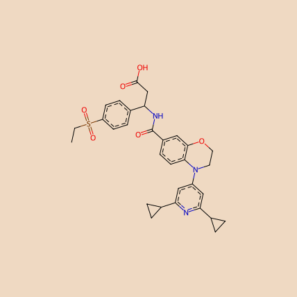 CCS(=O)(=O)c1ccc(C(CC(=O)O)NC(=O)c2ccc3c(c2)OCCN3c2cc(C3CC3)nc(C3CC3)c2)cc1